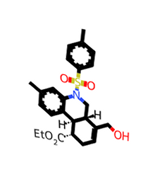 CCOC(=O)[C@H]1CC=C(CO)[C@H]2CN(S(=O)(=O)c3ccc(C)cc3)c3cc(C)ccc3[C@H]12